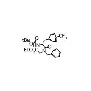 CCOC(=O)CN(Cc1ccccc1)C(=O)[C@@H](Cc1ccc(C(F)(F)F)cc1)NC(=O)OC(C)(C)C